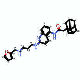 O=C(CC12CC3CC(CC(C3)C1)C2)Nc1cccc2nc(NCCCNCc3ccco3)ccc12